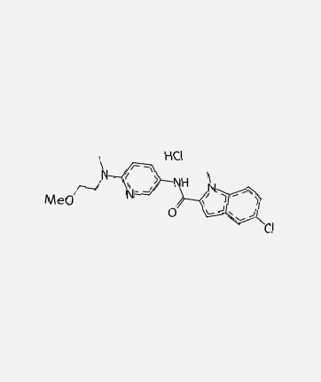 COCCN(C)c1ccc(NC(=O)c2cc3cc(Cl)ccc3n2C)cn1.Cl